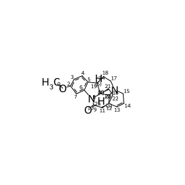 COc1ccc2c(c1)N1C(=O)C[C@]34C=CCN5CC[C@@H]2[C@]1(CC3)[C@@H]54